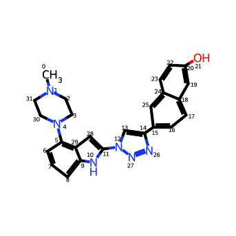 CN1CCN(c2cccc3[nH]c(-n4cc(-c5ccc6cc(O)ccc6c5)nn4)cc23)CC1